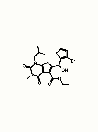 CCOC(=O)c1c(C(O)c2sccc2Br)sc2c1c(=O)n(C)c(=O)n2CC(C)C